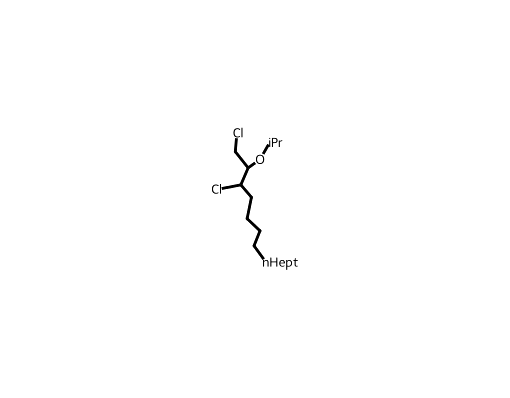 CCCCCCCCCCCC(Cl)C(CCl)OC(C)C